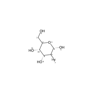 OCC1O[C@H](O)C([18F])[C@H](O)[C@@H]1O